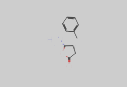 N[C@@H]1OC(=O)C[C@H]1Cc1ccccc1